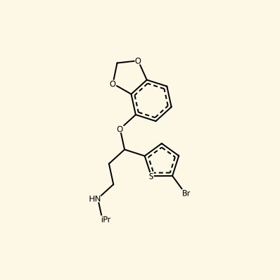 CC(C)NCCC(Oc1cccc2c1OCO2)c1ccc(Br)s1